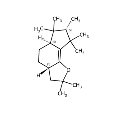 C[C@@H]1C(C)(C)C2=C3OC(C)(C)C[C@@H]3CC[C@H]2C1(C)C